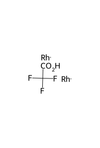 O=C(O)C(F)(F)F.[Rh].[Rh]